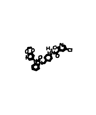 Cc1ncc(Cl)cc1C(=O)NC1CCC(Cn2c(=O)n(-c3cnc4c(c3)OCCO4)c3ccccc32)CC1